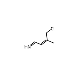 C/C(=C/C=N)CCl